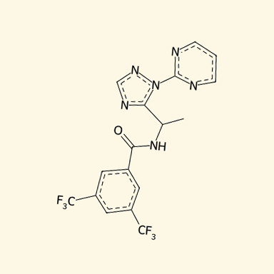 CC(NC(=O)c1cc(C(F)(F)F)cc(C(F)(F)F)c1)c1ncnn1-c1ncccn1